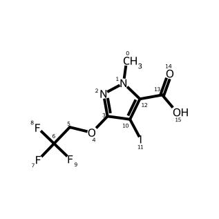 Cn1nc(OCC(F)(F)F)c(I)c1C(=O)O